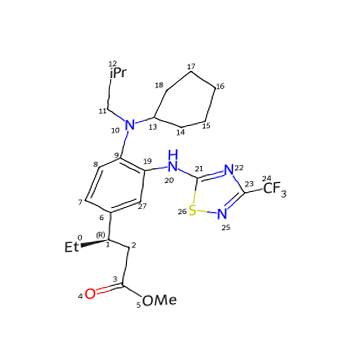 CC[C@H](CC(=O)OC)c1ccc(N(CC(C)C)C2CCCCC2)c(Nc2nc(C(F)(F)F)ns2)c1